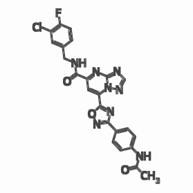 CC(=O)Nc1ccc(-c2noc(-c3cc(C(=O)NCc4ccc(F)c(Cl)c4)nc4ncnn34)n2)cc1